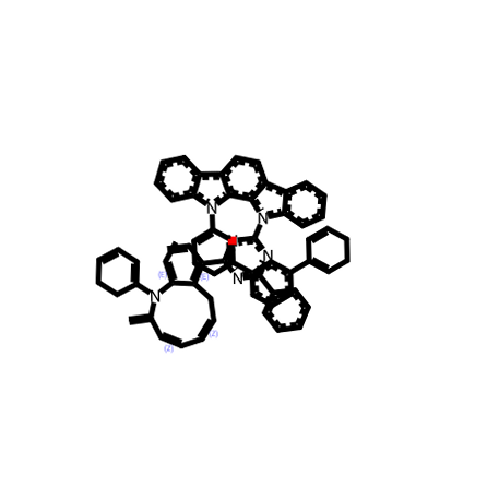 C=C/C(=C1/C/C=C\C=C/C(=C)N(C2=CC=CCC2)/C1=C/C)c1nc(-c2ccccc2)nc(-n2c3ccccc3c3ccc4c5ccccc5n(C5=CCCC(c6cccc(C7=CCCC=C7)c6)=C5)c4c32)n1